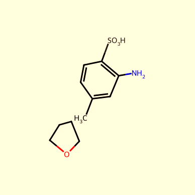 C1CCOC1.Cc1ccc(S(=O)(=O)O)c(N)c1